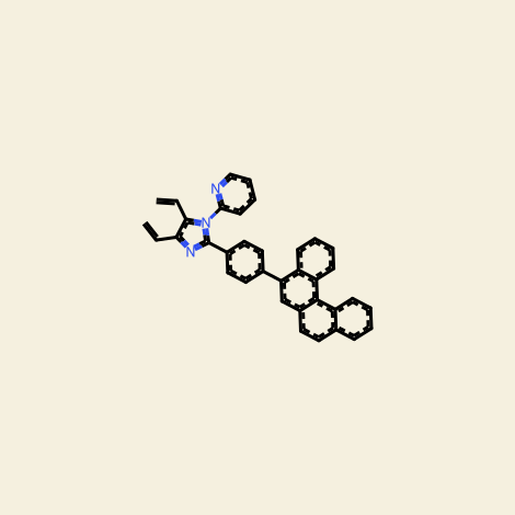 C=Cc1nc(-c2ccc(-c3cc4ccc5ccccc5c4c4ccccc34)cc2)n(-c2ccccn2)c1C=C